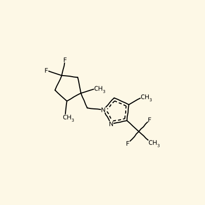 Cc1cn(CC2(C)CC(F)(F)CC2C)nc1C(C)(F)F